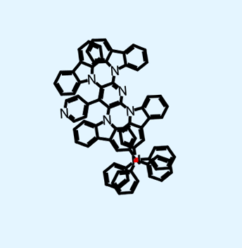 c1ccc(N(c2ccccc2)c2ccc3c(c2)c2ccccc2n3-c2nc(-n3c4ccccc4c4ccccc43)c(-n3c4ccccc4c4ccccc43)c(-c3ccncc3)c2-n2c3ccccc3c3cc(N(c4ccccc4)c4ccccc4)ccc32)cc1